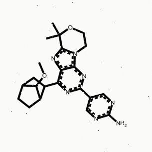 COC1C2CCC1C(c1nc(-c3cnc(N)nc3)nc3c1nc1n3CCOC1(C)C)C2